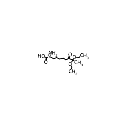 CCOC(C)(OCC)C(=O)CCCCCN(N)C(=O)O